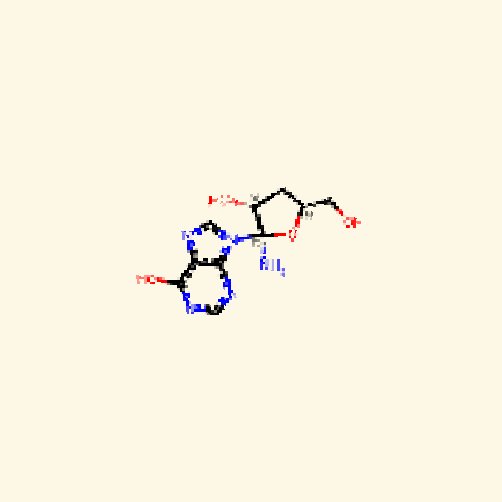 N[C@@]1(n2cnc3c(O)ncnc32)O[C@H](CO)C[C@H]1O